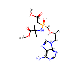 CCCOC(=O)C(C)(C)N[P@](=O)(CO[C@@H](C)Cn1cnc2c(N)ncnc21)CC(=O)OC(C)C